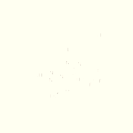 Cc1ccccc1-n1nc(Cn2c(Cl)c(-c3ccc(Cl)cc3)n(CC(O)C(F)(F)F)c2=O)nc1[C@H](C)O